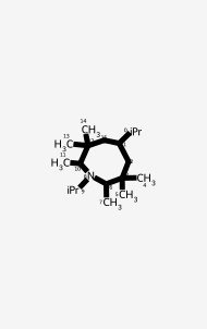 CC(C)C1CC(C)(C)C(C)N(C(C)C)C(C)C(C)(C)C1